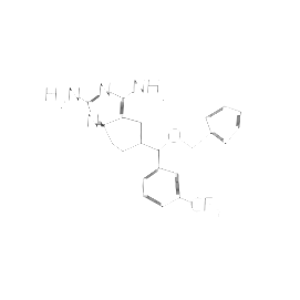 Nc1nc(N)c2c(n1)CCC(C(OCc1ccccc1)c1cccc(C(F)(F)F)c1)C2